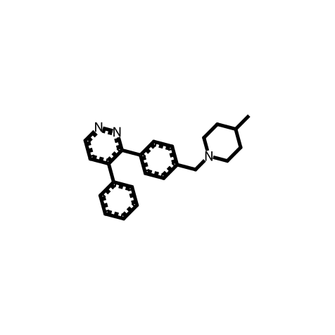 CC1CCN(Cc2ccc(-c3nnccc3-c3ccccc3)cc2)CC1